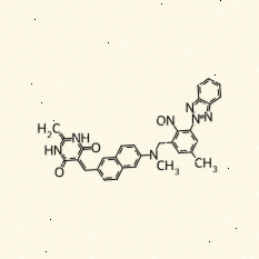 C=c1[nH]c(=O)c(=Cc2ccc3cc(N(C)Cc4cc(C)cc(-n5nc6ccccc6n5)c4N=O)ccc3c2)c(=O)[nH]1